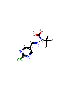 CC(C)(C)N(N=Cc1cnc(Cl)nc1)C(=O)O